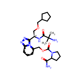 CC(C)(N)C(=O)N[C@H](COCC1CCCC1)c1nnc2cccc(COC(=O)N3CCCC3C(N)=O)n12